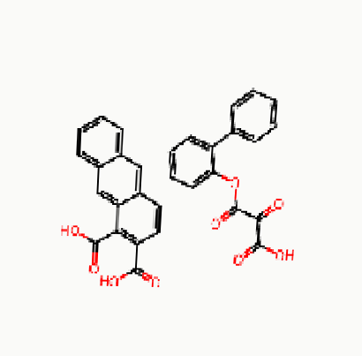 O=C(O)C(=O)C(=O)Oc1ccccc1-c1ccccc1.O=C(O)c1ccc2cc3ccccc3cc2c1C(=O)O